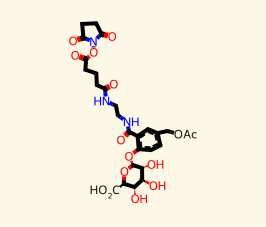 CC(=O)OCc1ccc(O[C@@H]2O[C@H](C(=O)O)[C@@H](O)[C@H](O)[C@H]2O)c(C(=O)NCCNC(=O)CCCC(=O)ON2C(=O)CCC2=O)c1